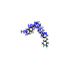 Fc1cccc(Cc2cnc(N3CCN(c4ncnc(Nc5ccc6c(c5)CNCC6)n4)CC3)nc2)c1